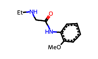 CCNCC(=O)Nc1ccccc1OC